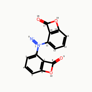 [N-]=[N+](c1cccc2c1C(=O)O2)c1cccc2c1C(=O)O2